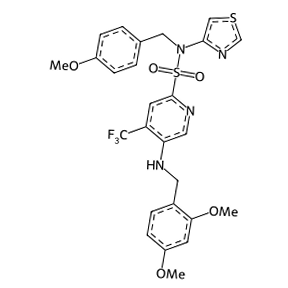 COc1ccc(CN(c2cscn2)S(=O)(=O)c2cc(C(F)(F)F)c(NCc3ccc(OC)cc3OC)cn2)cc1